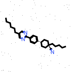 CCCCCCc1cnc(-c2ccc([C@H]3CC[C@@](C#N)(CCCCC)CC3)cc2)nc1